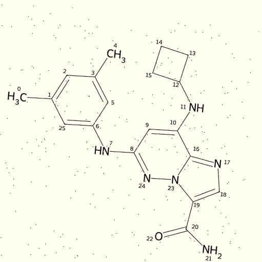 Cc1cc(C)cc(Nc2cc(NC3CCC3)c3ncc(C(N)=O)n3n2)c1